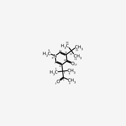 CC(=O)C(C)(C)c1cn(C)cc(C(C)(C)C)c1=O